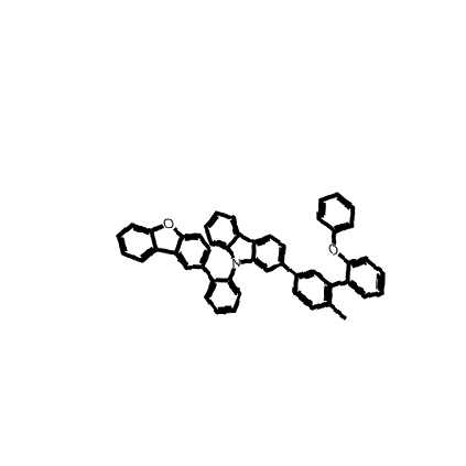 Cc1ccc(-c2ccc3c4ccccc4n(-c4ccccc4-c4ccc5oc6ccccc6c5c4)c3c2)cc1-c1ccccc1Oc1ccccc1